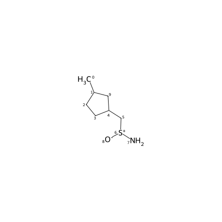 CC1CCC(C[S+](N)[O-])C1